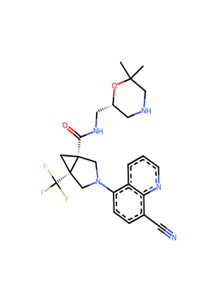 CC1(C)CNC[C@H](CNC(=O)[C@]23CN(c4ccc(C#N)c5ncccc45)C[C@@]2(C(F)(F)F)C3)O1